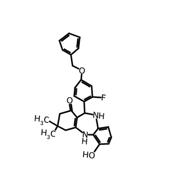 CC1(C)CC(=O)C2=C(C1)Nc1c(O)cccc1NC2c1ccc(OCc2ccccc2)cc1F